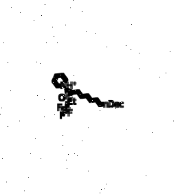 CCCCCCCCCCCCCCCCC1C([NH+]2CCCCC2)P1(=O)CC.F[B-](F)(F)F